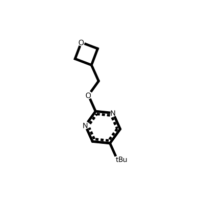 CC(C)(C)c1cnc(OCC2COC2)nc1